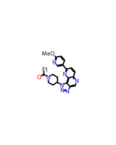 CCC(=O)N1CCC(n2nnc3cnc4ccc(-c5ccc(OC)nc5)nc4c32)CC1